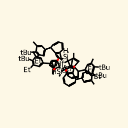 CCc1cc(C2C=CC=CC3=C2C=C(C)[C]32[SiH](C)[C]3(C(C)=CC4=C3C=CC=CC4c3cc(C)c(C(C)(C)C)c(CC)c3)[Hf]23([Cl])([Cl])[C]2(C(C)=CC4=C2C=CC=CC4c2cc(C)c(C(C)(C)C)c(CC)c2)[SiH](C)[C]32C(C)=CC3=C2C=CC=CC3c2cc(C)c(C(C)(C)C)c(CC)c2)cc(C)c1C(C)(C)C